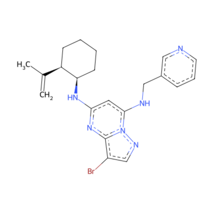 C=C(C)[C@H]1CCCC[C@H]1Nc1cc(NCc2cccnc2)n2ncc(Br)c2n1